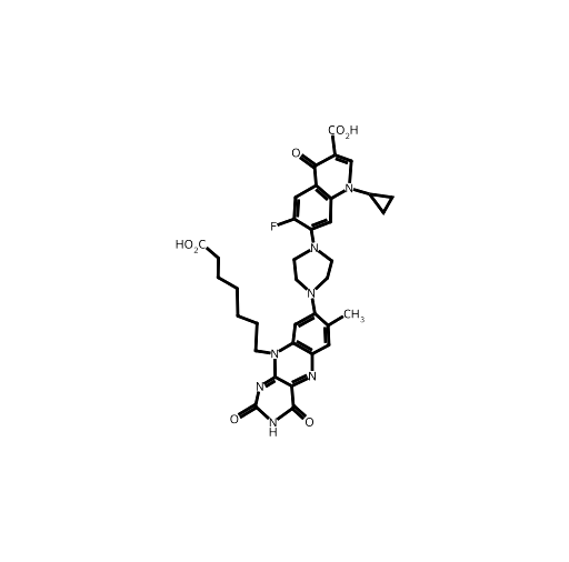 Cc1cc2nc3c(=O)[nH]c(=O)nc-3n(CCCCCCC(=O)O)c2cc1N1CCN(c2cc3c(cc2F)c(=O)c(C(=O)O)cn3C2CC2)CC1